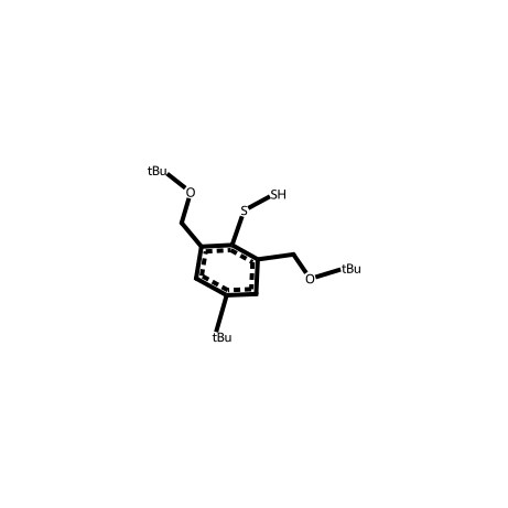 CC(C)(C)OCc1cc(C(C)(C)C)cc(COC(C)(C)C)c1SS